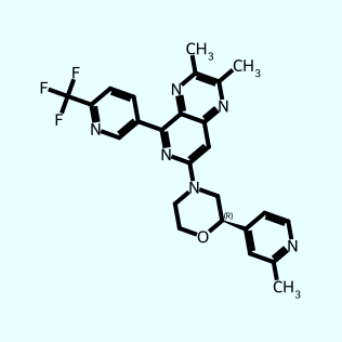 Cc1cc([C@@H]2CN(c3cc4nc(C)c(C)nc4c(-c4ccc(C(F)(F)F)nc4)n3)CCO2)ccn1